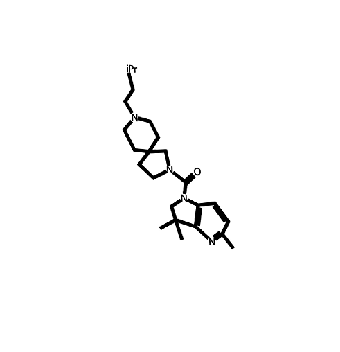 Cc1ccc2c(n1)C(C)(C)CN2C(=O)N1CCC2(CCN(CCC(C)C)CC2)C1